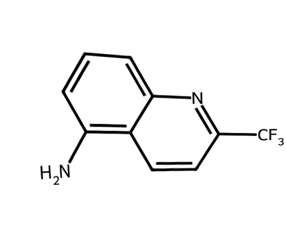 Nc1cccc2nc(C(F)(F)F)ccc12